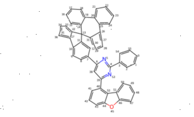 c1ccc(-c2nc(-c3ccc4c(c3)C3(c5ccccc5-c5ccccc5-c5ccccc53)c3ccccc3-4)cc(-c3cccc4oc5ccccc5c34)n2)cc1